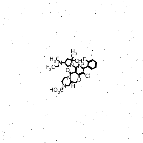 CN(CC(F)(F)F)C1CN(c2nc(-c3ccccc3F)c(Cl)c3c2C(=O)N2CCN(C(=O)O)C[C@@H]2CO3)C(C)(C)C1